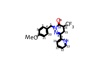 COc1ccc(CN2N=C(c3ccccn3)CC(C(F)(F)F)C2=O)cc1